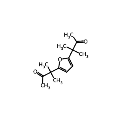 CC(=O)C(C)(C)c1ccc(C(C)(C)C(C)=O)o1